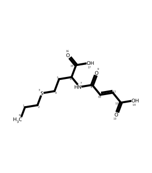 CCCSCCC(NC(=O)C=CC(=O)O)C(=O)O